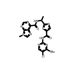 CC(NC(=O)c1ncnc2c1ncn2C)c1ncc(C(=O)Nc2ncc(Cl)c(C(C)(C)C)n2)s1